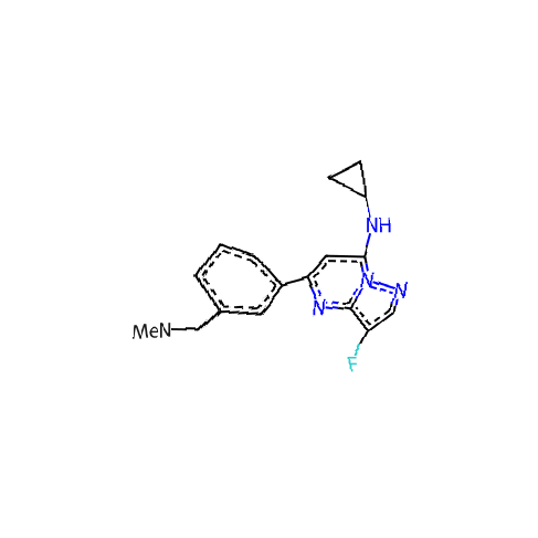 CNCc1cccc(-c2cc(NC3CC3)n3ncc(F)c3n2)c1